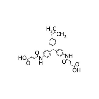 CC(C)Cc1ccc(C(c2ccc(NC(=O)/C=C/C(=O)O)cc2)c2ccc(NC(=O)/C=C/C(=O)O)cc2)cc1